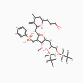 C=C1C(C)CC(CCCO)OC1CC1OC(CC(CO[Si](C)(C)C(C)(C)C)O[Si](C)(C)C(C)(C)C)[C@H](OC)C1CS(=O)(=O)c1ccccc1